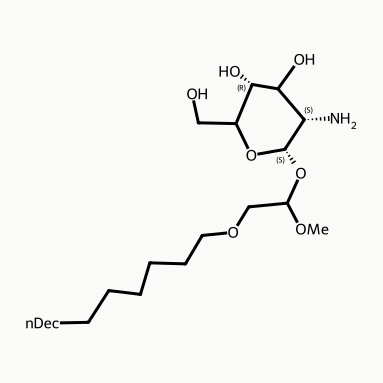 CCCCCCCCCCCCCCCCOCC(OC)O[C@@H]1OC(CO)[C@H](O)C(O)[C@@H]1N